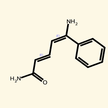 NC(=O)/C=C/C=C(/N)c1ccccc1